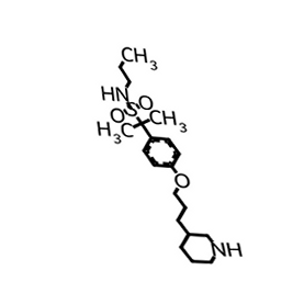 CCCNS(=O)(=O)C(C)(C)c1ccc(OCCCC2CCCNC2)cc1